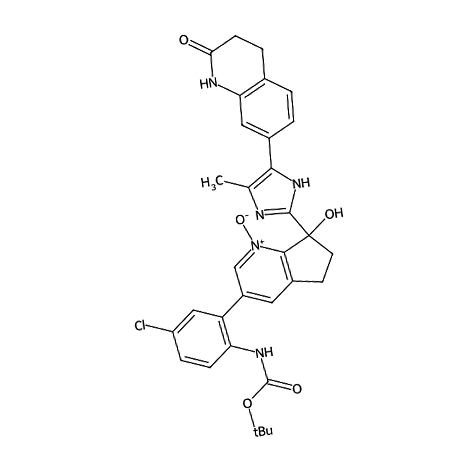 Cc1nc(C2(O)CCc3cc(-c4cc(Cl)ccc4NC(=O)OC(C)(C)C)c[n+]([O-])c32)[nH]c1-c1ccc2c(c1)NC(=O)CC2